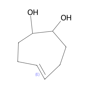 OC1CC/C=C/CCC1O